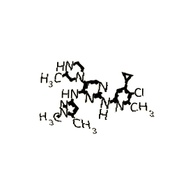 Cc1nc(Nc2ncc(N3CCNC(C)C3)c(Nc3cc(C)n(C)n3)n2)cc(C2CC2)c1Cl